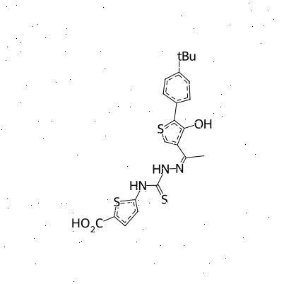 C/C(=N/NC(=S)Nc1ccc(C(=O)O)s1)c1csc(-c2ccc(C(C)(C)C)cc2)c1O